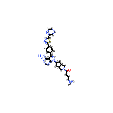 CN(C)CC=CC(=O)N1CC2CC(n3nc(-c4ccc(-c5nnc(-c6cnccn6)s5)cc4)c4c(N)ncnc43)CC2C1